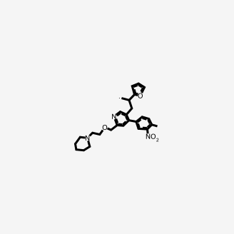 [CH2]C(Cc1cnc(COCCN2CCCCC2)cc1-c1ccc(C)c([N+](=O)[O-])c1)c1ccco1